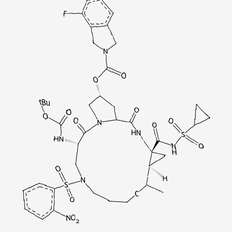 CC1CCCCN(S(=O)(=O)c2ccccc2[N+](=O)[O-])C[C@H](NC(=O)OC(C)(C)C)C(=O)N2C[C@H](OC(=O)N3Cc4cccc(F)c4C3)CC2C(=O)N[C@]2(C(=O)NS(=O)(=O)C3CC3)C[C@@H]12